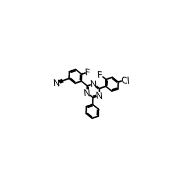 N#Cc1ccc(F)c(-c2nc(-c3ccccc3)nc(-c3ccc(Cl)cc3F)n2)c1